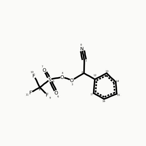 N#CC(OOS(=O)(=O)C(F)(F)F)c1ccccc1